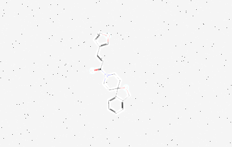 O=C(/C=C/c1ccoc1)N1CCC2(CC1)OCc1ccccc12